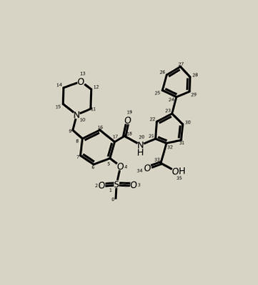 CS(=O)(=O)Oc1ccc(CN2CCOCC2)cc1C(=O)Nc1cc(-c2ccccc2)ccc1C(=O)O